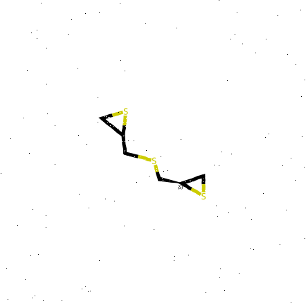 C(SC[C@H]1CS1)C1CS1